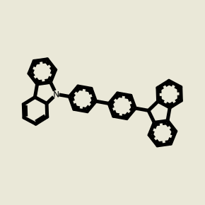 C1=CC2c3ccccc3N(c3ccc(-c4ccc(C5c6ccccc6-c6ccccc65)cc4)cc3)C2C=C1